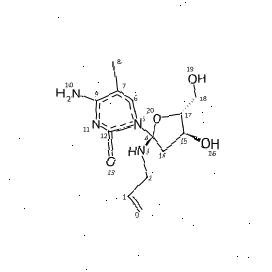 C=CCN[C@]1(n2cc(I)c(N)nc2=O)C[C@H](O)[C@@H](CO)O1